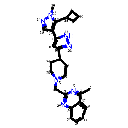 Cc1nc(CN2CCC(c3cc(-c4cnn(C)c4C4CCC4)[nH]n3)CC2)nc2ccccc12